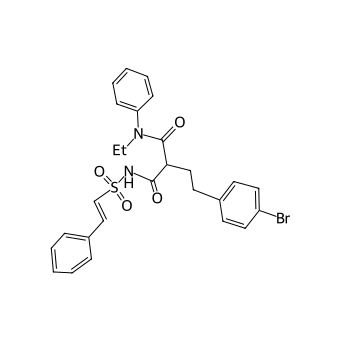 CCN(C(=O)C(CCc1ccc(Br)cc1)C(=O)NS(=O)(=O)C=Cc1ccccc1)c1ccccc1